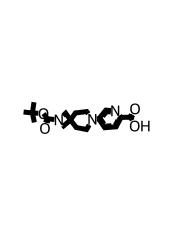 CC(C)(C)OC(=O)N1CC2(CCN(c3ccc(C(=O)O)nc3)CC2)C1